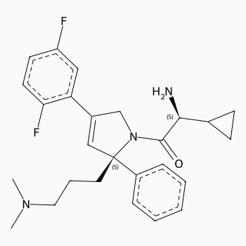 CN(C)CCC[C@@]1(c2ccccc2)C=C(c2cc(F)ccc2F)CN1C(=O)[C@@H](N)C1CC1